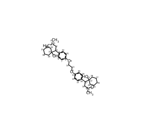 CN(C)CC(c1ccc(OCCOc2ccc(C(CN(C)Cl)C3(O)CCCCC3)cc2)cc1)C1(O)CCCCC1